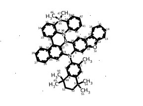 Cc1cc2c(cc1N1c3cc4oc5ccccc5c4cc3B3c4c1cc1ccccc1c4-c1cccc4c1N3c1ccccc1[Si]4(C)C)C(C)(C)CCC2(C)C